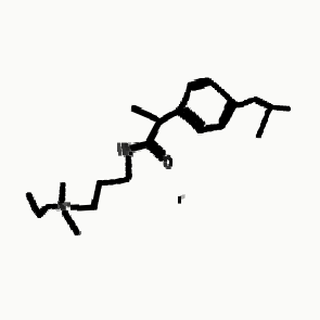 CC[N+](C)(C)CCCNC(=O)C(C)c1ccc(CC(C)C)cc1.[I-]